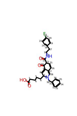 O=C(O)CCCCC1C=C2C(=O)C(C(=O)NCCc3ccc(F)cc3)C=CC2=CN1Cc1ccccc1